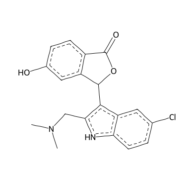 CN(C)Cc1[nH]c2ccc(Cl)cc2c1C1OC(=O)c2ccc(O)cc21